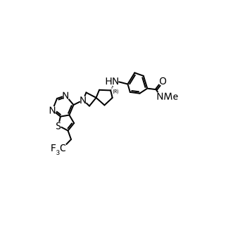 CNC(=O)c1ccc(N[C@@H]2CCC3(C2)CN(c2ncnc4sc(CC(F)(F)F)cc24)C3)cc1